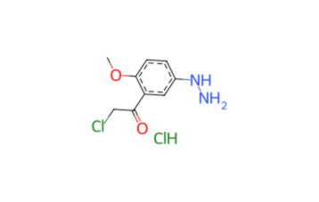 COc1ccc(NN)cc1C(=O)CCl.Cl